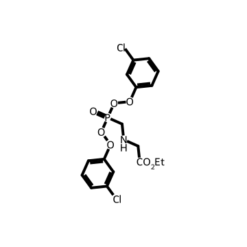 CCOC(=O)CNCP(=O)(OOc1cccc(Cl)c1)OOc1cccc(Cl)c1